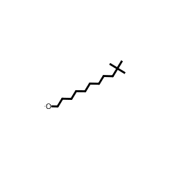 CC(C)(C)CCCCCCCCC[O]